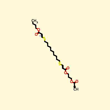 C#CC(=O)OCCCOC(=O)C=CSCCCCCCCCCCS/C=C/C(=O)OCCCC